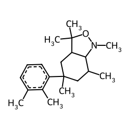 Cc1cccc(C2(C)CC(C)C3C(C2)C(C)(C)ON3C)c1C